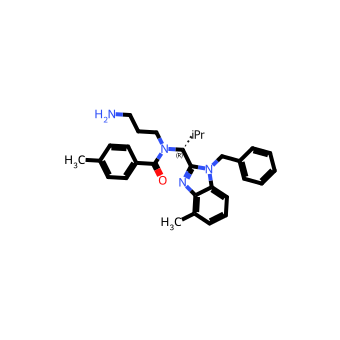 Cc1ccc(C(=O)N(CCCN)[C@@H](c2nc3c(C)cccc3n2Cc2ccccc2)C(C)C)cc1